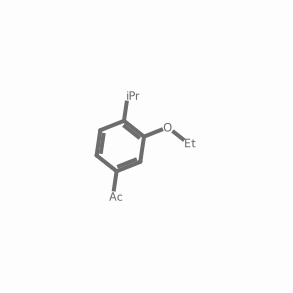 CCOc1cc(C(C)=O)ccc1C(C)C